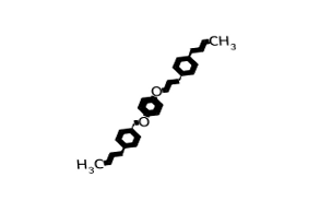 CCCC[C@H]1CC[C@H](CCCOc2ccc(OC[C@H]3CC[C@H](CCCC)CC3)cc2)CC1